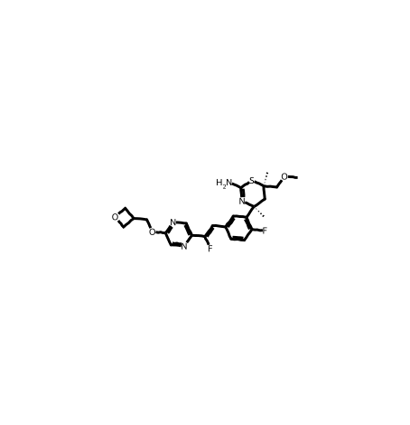 COC[C@@]1(C)C[C@@](C)(c2cc(/C=C(\F)c3cnc(OCC4COC4)cn3)ccc2F)N=C(N)S1